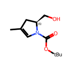 CC1=CN(C(=O)OC(C)(C)C)[C@H](CO)C1